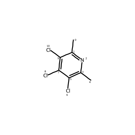 Cc1nc(C)c(Cl)c(Cl)c1Cl